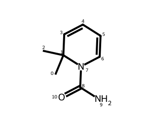 CC1(C)C=CC=CN1C(N)=O